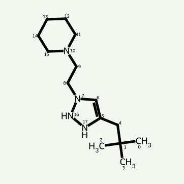 CC(C)(C)CC1=CN(CCN2CCCCC2)NN1